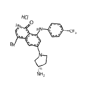 Cl.N[C@H]1CCN(c2cc(Nc3ccc(C(F)(F)F)cc3)c3c(=O)[nH]cc(Br)c3c2)C1